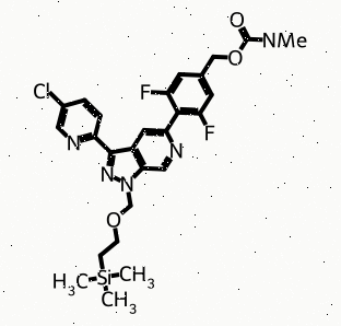 CNC(=O)OCc1cc(F)c(-c2cc3c(-c4ccc(Cl)cn4)nn(COCC[Si](C)(C)C)c3cn2)c(F)c1